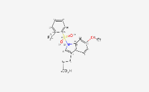 CCOc1ccc2c(CCC(=O)O)cn(S(=O)(=O)c3ccccc3C(F)(F)F)c2c1